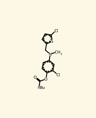 CCCCC(=O)Oc1ccc(N(C)Cc2ccc(Cl)s2)cc1Cl